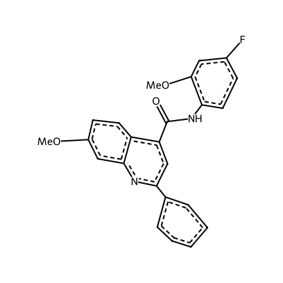 COc1ccc2c(C(=O)Nc3ccc(F)cc3OC)cc(-c3ccccc3)nc2c1